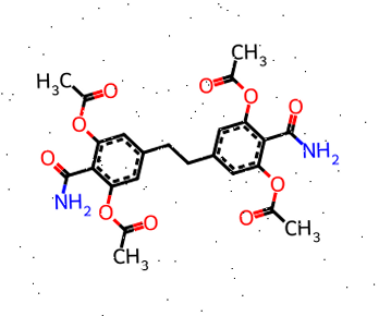 CC(=O)Oc1cc(CCc2cc(OC(C)=O)c(C(N)=O)c(OC(C)=O)c2)cc(OC(C)=O)c1C(N)=O